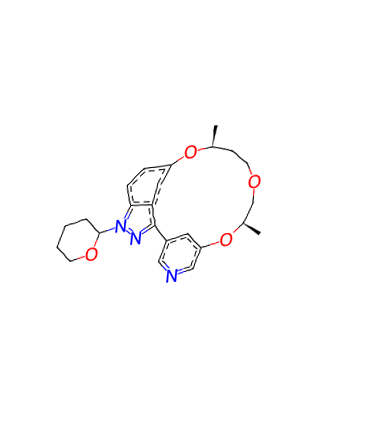 C[C@@H]1COCC[C@H](C)Oc2ccc3c(c2)c(nn3C2CCCCO2)-c2cncc(c2)O1